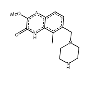 COc1nc2ccc(CN3CCNCC3)c(C)c2[nH]c1=O